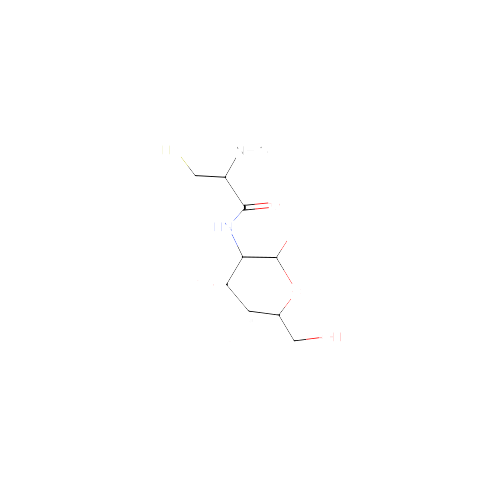 CC(=O)NC(CS)C(=O)NC1C(O)OC(CO)[C@H](O)[C@@H]1O